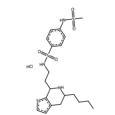 CCCCC1Cc2ccsc2C(CCNS(=O)(=O)c2ccc(NS(C)(=O)=O)cc2)N1.Cl